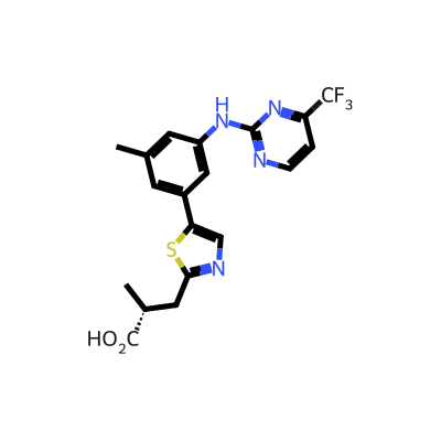 Cc1cc(Nc2nccc(C(F)(F)F)n2)cc(-c2cnc(C[C@@H](C)C(=O)O)s2)c1